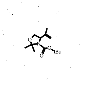 C=C(C)C1COC(C)(C)N1C(=O)OC(C)(C)C